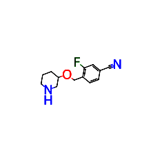 N#Cc1ccc(COC2CCCNC2)c(F)c1